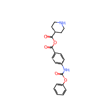 O=C(Nc1ccc(C(=O)OC(=O)C2CCNCC2)cc1)Oc1ccccc1